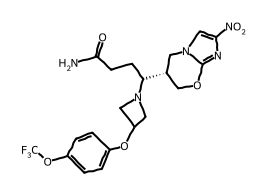 NC(=O)CCC([C@H]1COc2nc([N+](=O)[O-])cn2C1)N1CC(Oc2ccc(OC(F)(F)F)cc2)C1